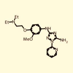 CCN(CC)CCOc1ccc(Nc2nc(N)n(-c3ccccn3)n2)cc1OC